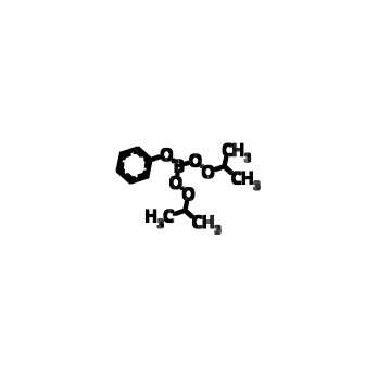 CC(C)OOB(OOC(C)C)Oc1ccccc1